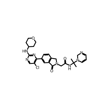 CC(C)(NC(=O)CN1Cc2ccc(-c3nc(NC4CCOCC4)ncc3Cl)cc2C1=O)N1C=CC=NC1